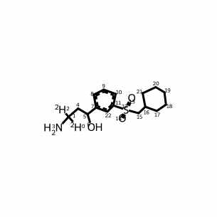 [2H]C([2H])(N)CC(O)c1cccc(S(=O)(=O)CC2CCCCC2)c1